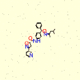 CC(CC(C)C)=NOC(c1ccccc1)c1ccc(NC(=O)[C@@H]2CC(c3cccnc3)=NO2)cc1